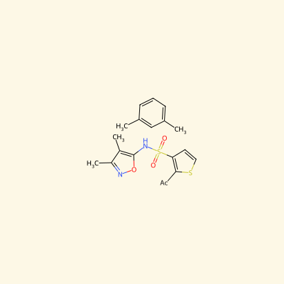 CC(=O)c1sccc1S(=O)(=O)Nc1onc(C)c1C.Cc1cccc(C)c1